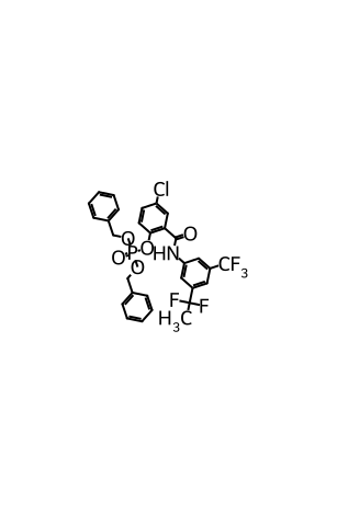 CC(F)(F)c1cc(NC(=O)c2cc(Cl)ccc2OP(=O)(OCc2ccccc2)OCc2ccccc2)cc(C(F)(F)F)c1